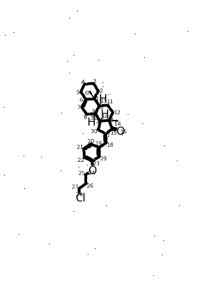 C[C@]12CCCCC1=CC[C@@H]1[C@@H]2CC[C@]2(C)C(=O)C(=Cc3cccc(OCCCCl)c3)C[C@@H]12